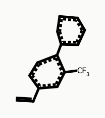 C=Cc1ccc(-c2ccccc2)c(C(F)(F)F)c1